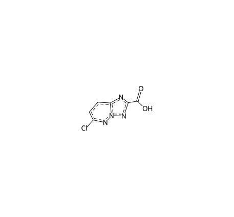 O=C(O)c1nc2ccc(Cl)nn2n1